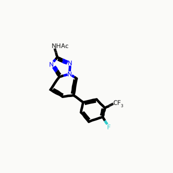 CC(=O)Nc1nc2ccc(-c3ccc(F)c(C(F)(F)F)c3)cn2n1